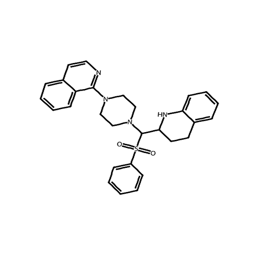 O=S(=O)(c1ccccc1)C(C1CCc2ccccc2N1)N1CCN(c2nccc3ccccc23)CC1